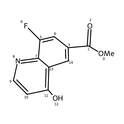 COC(=O)c1cc(F)c2nccc(O)c2c1